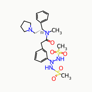 CN(C(=O)Cc1cccc(N(NS(C)(=O)=O)NS(C)(=O)=O)c1)[C@H](CN1CCCC1)c1ccccc1